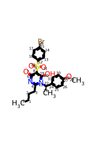 CCCCc1nc(=O)c(S(=O)(=O)c2ccc(Br)cc2)c(O)n1[C@H](C)c1ccc(OC)cc1